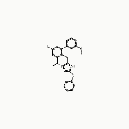 COc1cc(-c2cc(F)cc(C(C)C)c2Cc2nnc(Sc3ccccc3)[nH]2)ccn1